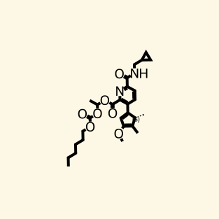 CCCCCCOC(=O)OC(C)OC(=O)c1nc(C(=O)NCC2CC2)ccc1C1=CC(OC)=C(C)[C@H]1C